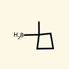 BC1(C)CCC1